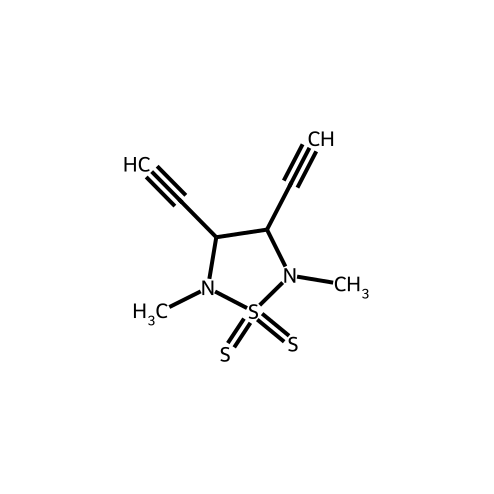 C#CC1C(C#C)N(C)S(=S)(=S)N1C